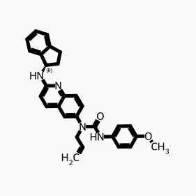 C=CCN(C(=O)Nc1ccc(OC)cc1)c1ccc2nc(N[C@@H]3CCc4ccccc43)ccc2c1